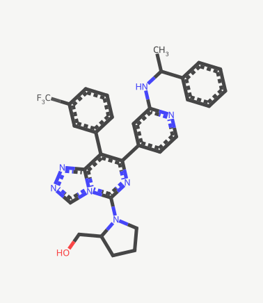 CC(Nc1cc(-c2nc(N3CCCC3CO)n3cnnc3c2-c2cccc(C(F)(F)F)c2)ccn1)c1ccccc1